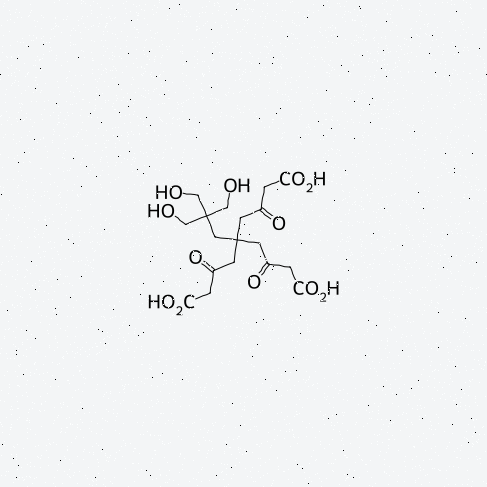 O=C(O)CC(=O)CC(CC(=O)CC(=O)O)(CC(=O)CC(=O)O)CC(CO)(CO)CO